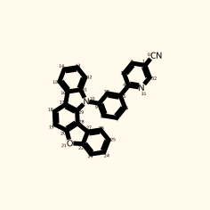 N#Cc1ccc(-c2cccc(-n3c4ccccc4c4ccc5oc6ccccc6c5c43)c2)nc1